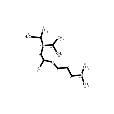 CC(C)N(CC([O])OCCCN(C)C)C(C)C